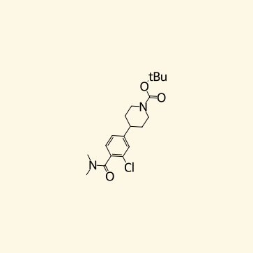 CN(C)C(=O)c1ccc(C2CCN(C(=O)OC(C)(C)C)CC2)cc1Cl